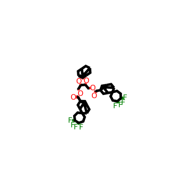 O=C(OCC1OC2(OC1COC(=O)C13CC4CC(C1)C1(CCC(F)(F)C(F)(F)CC1)C(C4)C3)C1CC3CC(C1)CC2C3)C12CC3CC(C1)C1(CCC(F)(F)C(F)(F)CC1)C(C3)C2